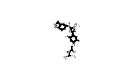 CC(C)NC(=O)COc1cc(F)c(-c2nc(Nc3ccc4[nH]ncc4c3)n(C)n2)cc1F